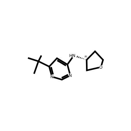 CC(C)(C)c1cc(N[C@@H]2CCOC2)ncn1